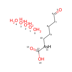 O.O.O.O.O.O=CCCCC[AsH]C(=O)O